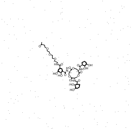 CC(=O)CCOCCOCCOCCNC(=O)c1cc(O)c(O)c(C(=O)N[C@H]2COC(=O)[C@@H](NC(=O)c3cccc(O)c3O)COC(=O)[C@@H](NC(=O)c3cccc(O)c3O)COC2=O)c1